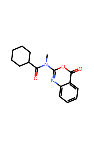 CN(C(=O)C1CCCCC1)c1nc2ccccc2c(=O)o1